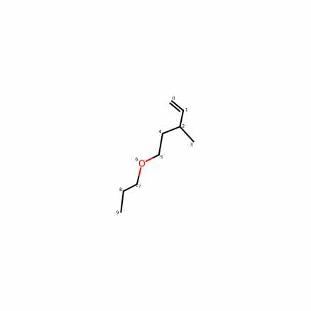 C=CC(C)CCO[CH]CC